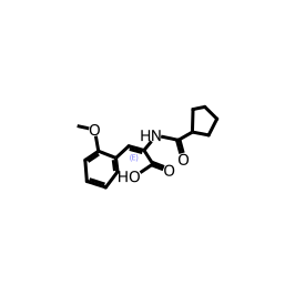 COc1ccccc1/C=C(/NC(=O)C1CCCC1)C(=O)O